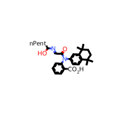 CCCCCC(O)N=CC(=O)N(c1ccc2c(c1)C(C)(C)CCC2(C)C)c1ccccc1C(=O)O